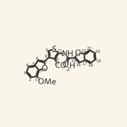 COc1cccc2cc(-c3csc(NC(=O)c4cc5ccccc5o4)c3C(=O)O)oc12